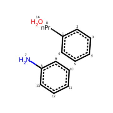 CCCc1ccccc1.Nc1ccccc1.O